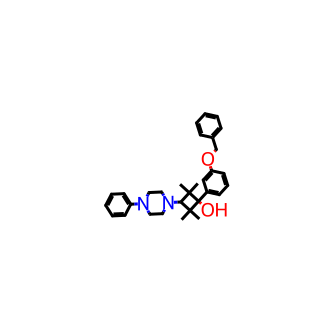 CC1(C)C(N2CCN(c3ccccc3)CC2)C(C)(C)C1(O)c1cccc(OCc2ccccc2)c1